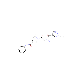 CN(CC(=O)N1CC(C(=O)Nc2ccccc2)CC1C#N)C(=O)c1cnn(C(C)(C)C)c1